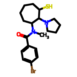 CN(C(=O)c1ccc(Br)cc1)C1CCCCC(S)C1N1CCCC1